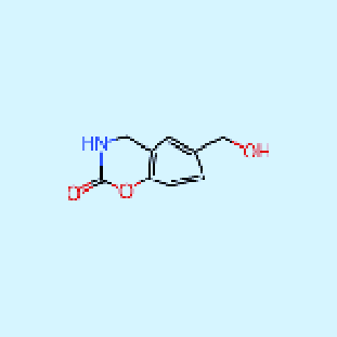 O=C1NCc2cc(CO)ccc2O1